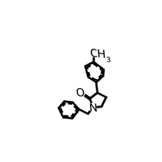 Cc1ccc(C2CCN(Cc3ccccc3)C2=O)cc1